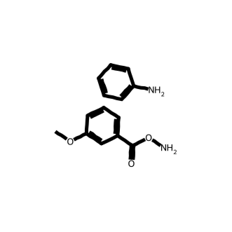 COc1cccc(C(=O)ON)c1.Nc1ccccc1